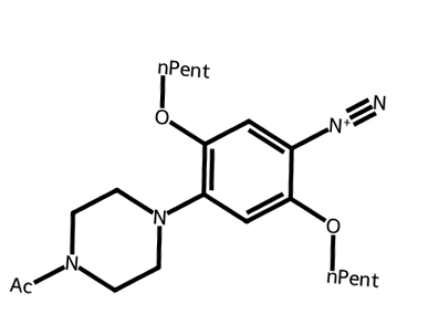 CCCCCOc1cc(N2CCN(C(C)=O)CC2)c(OCCCCC)cc1[N+]#N